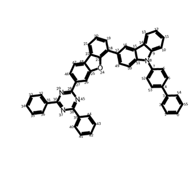 c1ccc(-c2ccc(-n3c4ccccc4c4cc(-c5cccc6c5oc5cc(-c7nc(-c8ccccc8)nc(-c8ccccc8)n7)ccc56)ccc43)cc2)cc1